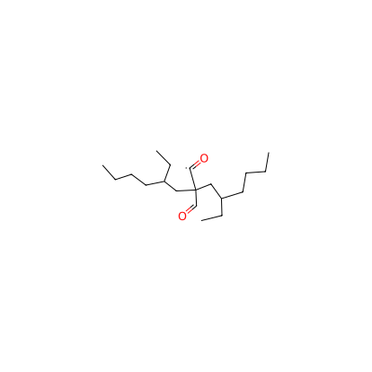 CCCCC(CC)CC([C]=O)(C=O)CC(CC)CCCC